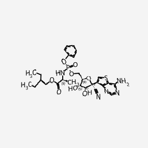 CCC(CC)COC(=O)[C@H](C)NP(=O)(OC[C@H]1O[C@@](C#N)(c2csc3c(N)ncnc23)[C@H](O)[C@@H]1O)Oc1ccccc1